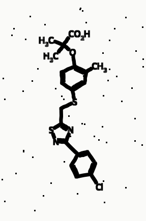 Cc1cc(SCc2nc(-c3ccc(Cl)cc3)ns2)ccc1OC(C)(C)C(=O)O